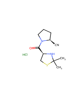 CC1(C)N[C@H](C(=O)N2CCC[C@H]2C#N)CS1.Cl